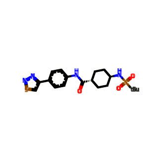 CC(C)(C)S(=O)(=O)N[C@H]1CC[C@H](C(=O)Nc2ccc(-c3csnn3)cc2)CC1